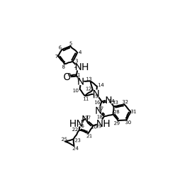 O=C(Nc1ccccc1)N1CC2CC1CN2c1nc(Nc2cc(C3CC3)[nH]n2)c2ccccc2n1